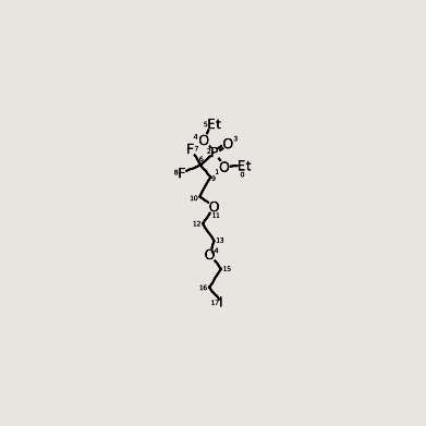 CCOP(=O)(OCC)C(F)(F)CCOCCOCCI